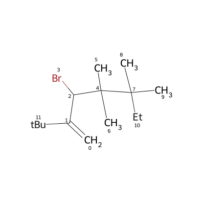 C=C(C(Br)C(C)(C)C(C)(C)CC)C(C)(C)C